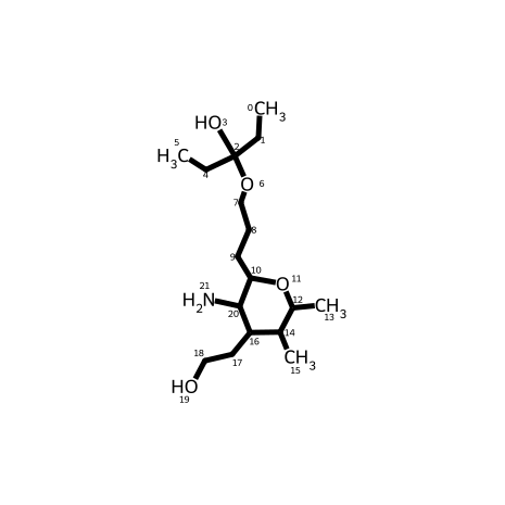 CCC(O)(CC)OCCCC1OC(C)C(C)C(CCO)C1N